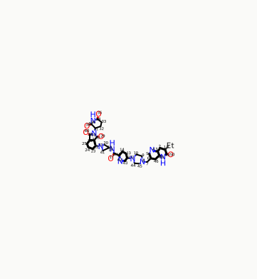 CCc1cc2ncc(CN3CCN(c4ccc(C(=O)NC5CN(c6cccc7c6C(=O)N(C6CCC(=O)NC6=O)C7=O)C5)nc4)CC3)cc2[nH]c1=O